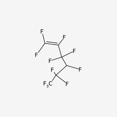 FC(F)=C(F)C(F)(F)C(F)C(F)(F)C(F)(F)F